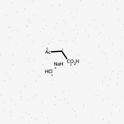 CC(=O)CC(=O)O.Cl.[NaH]